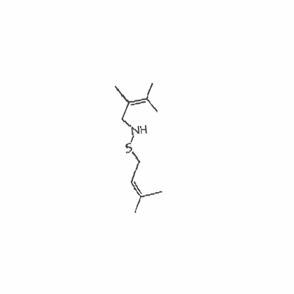 CC(C)=CCSNCC(C)=C(C)C